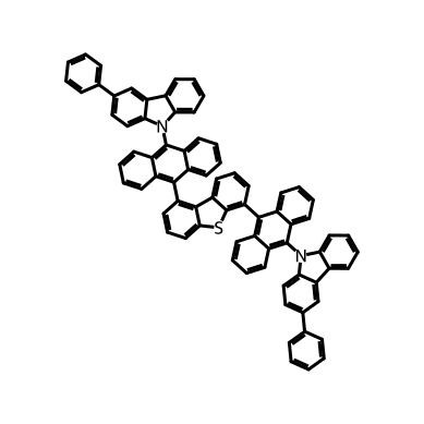 c1ccc(-c2ccc3c(c2)c2ccccc2n3-c2c3ccccc3c(-c3cccc4c3sc3cccc(-c5c6ccccc6c(-n6c7ccccc7c7cc(-c8ccccc8)ccc76)c6ccccc56)c34)c3ccccc23)cc1